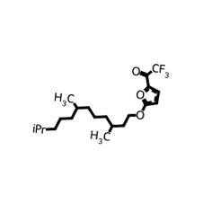 CC(C)CCCC(C)CCCC(C)CCOc1ccc(C(=O)C(F)(F)F)o1